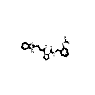 O=C(NCc1ccccc1OC(F)F)[C@@H]1CCCN1C(=O)CCc1nc2ccccc2[nH]1